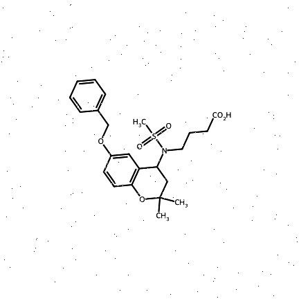 CC1(C)CC(N(CCCC(=O)O)S(C)(=O)=O)c2cc(OCc3ccccc3)ccc2O1